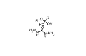 CC(C)OP(=O)(O)O.NNC(=O)NN